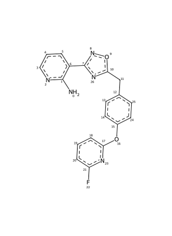 Nc1ncccc1-c1noc(Cc2ccc(Oc3cccc(F)n3)cc2)n1